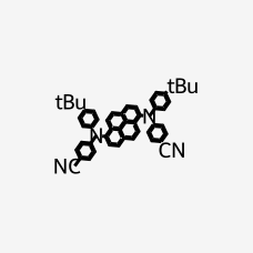 CC(C)(C)c1ccc(N(c2ccc(C#N)cc2)c2ccc3ccc4c(N(c5ccc(C#N)cc5)c5ccc(C(C)(C)C)cc5)ccc5ccc2c3c54)cc1